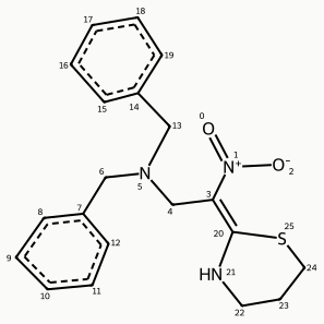 O=[N+]([O-])C(CN(Cc1ccccc1)Cc1ccccc1)=C1NCCCS1